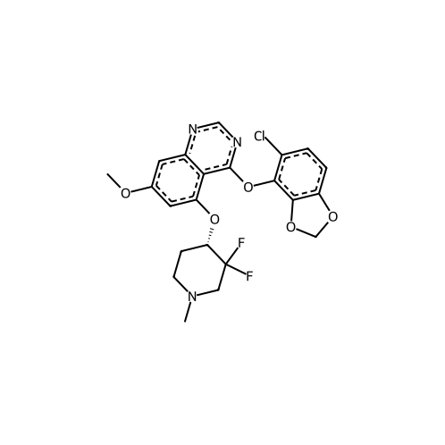 COc1cc(O[C@H]2CCN(C)CC2(F)F)c2c(Oc3c(Cl)ccc4c3OCO4)ncnc2c1